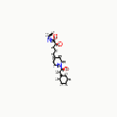 O=C(CCCC1CCN(C(=O)CC2CCCCC2)CC1)c1ncco1